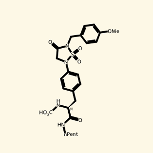 CCCCCNC(=O)[C@H](Cc1ccc(N2CC(=O)N(Cc3ccc(OC)cc3)S2(=O)=O)cc1)NC(=O)O